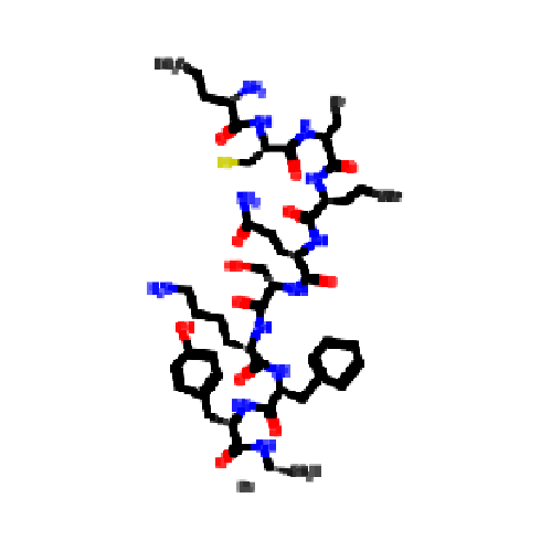 CC[C@H](C)[C@H](NC(=O)[C@H](Cc1ccc(O)cc1)NC(=O)[C@H](Cc1ccccc1)NC(=O)[C@H](CCCCN)NC(=O)[C@H](CO)NC(=O)[C@H](CCC(N)=O)NC(=O)[C@H](CCSC)NC(=O)[C@H](CC(C)C)NC(=O)[C@H](CS)NC(=O)[C@@H](N)CCC(=O)O)C(=O)O